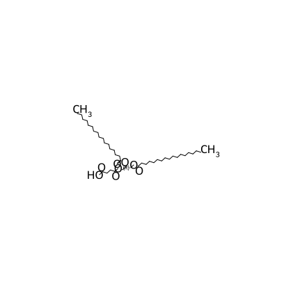 CCCCCCCCCCCCCCCCCC(=O)OC[C@H](COC(=O)CCC(=O)O)OC(=O)CCCCCCCCCCCCCCCCC